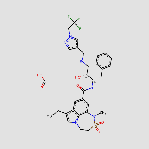 CCc1cn2c3c(cc(C(=O)N[C@@H](Cc4ccccc4)[C@H](O)CNCc4cnn(CC(F)(F)F)c4)cc13)N(C)S(=O)(=O)CC2.O=CO